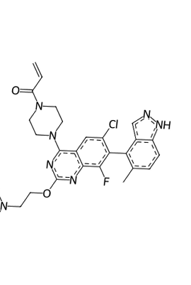 C=CC(=O)N1CCN(c2nc(OCCN(CCC)CCC)nc3c(F)c(-c4c(C)ccc5[nH]ncc45)c(Cl)cc23)CC1